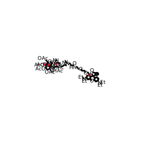 CCN(CC)c1ccc2c(c1)Oc1cc(N(CC)CC)ccc1C21c2ccccc2C(=O)N1CCOCCOCCNC(=O)CCn1cc(CN(CC2=CN([C@H]3OC(COC(C)=O)[C@@H](OC(C)=O)[C@H](OC(C)=O)C3NC(C)=O)NN2)Cc2cn([C@H]3OC(COC(C)=O)[C@H](OC(C)=O)[C@@H](OC(C)=O)C3NC(C)=O)nn2)nn1